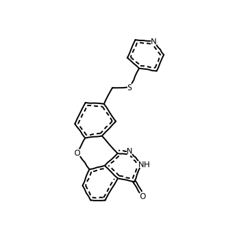 O=c1[nH]nc2c3c(cccc13)Oc1ccc(CSc3ccncc3)cc1-2